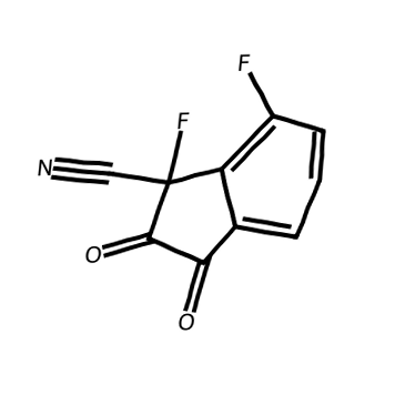 N#CC1(F)C(=O)C(=O)c2cccc(F)c21